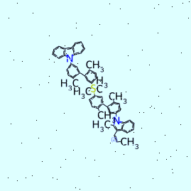 C/C=C\c1c(C)n(-c2ccc(C)c(-c3cc(S(C)(C)c4ccc(C)c(-c5cc(-n6c7ccccc7c7ccccc76)ccc5C)c4)ccc3C)c2)c2ccccc12